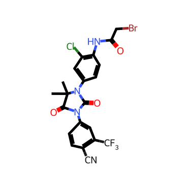 CC1(C)C(=O)N(c2ccc(C#N)c(C(F)(F)F)c2)C(=O)N1c1ccc(NC(=O)CBr)c(Cl)c1